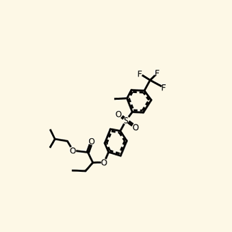 CCC(Oc1ccc(S(=O)(=O)c2ccc(C(F)(F)F)cc2C)cc1)C(=O)OCC(C)C